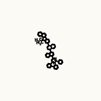 CC1(C)c2cc(C3=CC=C(c4ccc(-c5cc(-c6ccccc6-c6ccccc6)nc(-c6ccccc6)n5)c5ccccc45)C4C=CC=CC34)ccc2-c2ccc3ccccc3c21